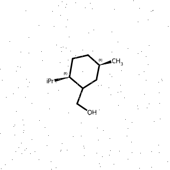 CC(C)[C@H]1CC[C@@H](C)CC1CO